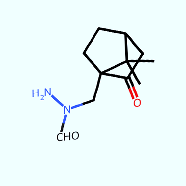 CC1(C)C2CCC1(CN(N)C=O)C(=O)C2